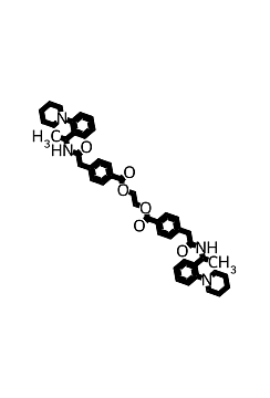 CC(NC(=O)Cc1ccc(C(=O)OCCOC(=O)c2ccc(CC(=O)NC(C)c3ccccc3N3CCCCC3)cc2)cc1)c1ccccc1N1CCCCC1